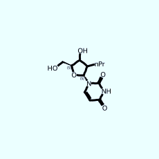 CCCC1C(O)[C@H](CO)O[C@@H]1n1ccc(=O)[nH]c1=O